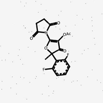 CC(=O)OC1=C(N2C(=O)CCC2=O)OC(C)(c2c(F)cccc2F)C1=O